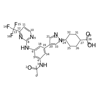 CC(=O)Nc1cc(Nc2nccc(C(F)(F)F)n2)cc(-c2cnn(C3CCC(C(=O)O)CC3)c2)c1